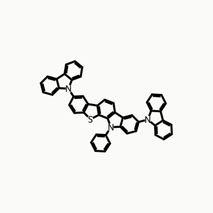 c1ccc(-n2c3ccc(-n4c5ccccc5c5ccccc54)cc3c3ccc4c5cc(-n6c7ccccc7c7ccccc76)ccc5sc4c32)cc1